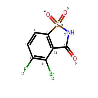 O=C1NS(=O)(=O)c2ccc(F)c(Br)c21